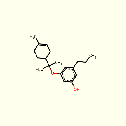 CCCc1cc(O)cc(OC(C)(C)C2CC=C(C)CC2)c1